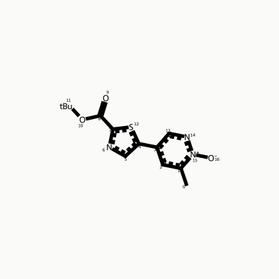 Cc1cc(-c2cnc(C(=O)OC(C)(C)C)s2)cn[n+]1[O-]